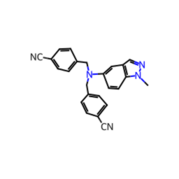 Cn1ncc2cc(N(Cc3ccc(C#N)cc3)Cc3ccc(C#N)cc3)ccc21